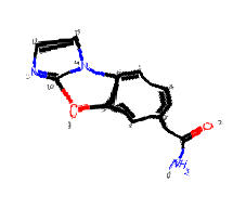 NC(=O)c1ccc2c(c1)oc1nccn12